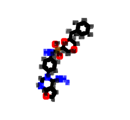 NC1c2ccoc2N=CN1c1ccc(NS(=O)(=O)C2COCC(Cc3ccccc3)O2)cc1